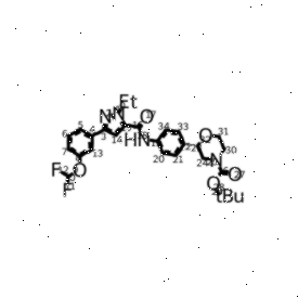 CCn1nc(-c2cccc(OC(F)F)c2)cc1C(=O)Nc1ccc([C@H]2CN(C(=O)OC(C)(C)C)CCO2)cc1